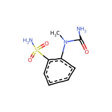 CN(C(N)=O)c1ccccc1S(N)(=O)=O